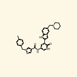 Cc1ccc(Cn2cc(C(=O)Nc3c[nH]c(=O)c(-c4cc5cc(CN6CCCCC6)ccc5[nH]4)c3)cn2)cc1